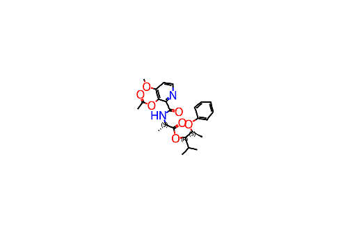 COc1ccnc(C(=O)N[C@@H](C)C(=O)O[C@H](C(C)C)[C@H](C)Oc2ccccc2)c1OC(C)=O